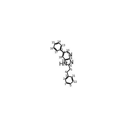 c1ccc(CCc2nc3ncc(-c4ccccc4)cc3[nH]2)cc1